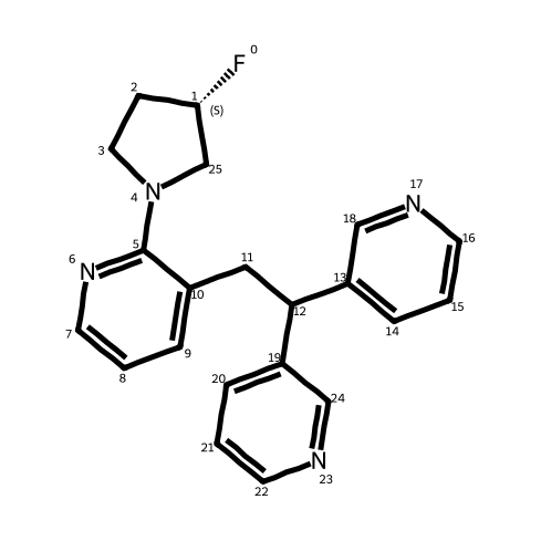 F[C@H]1CCN(c2ncccc2CC(c2cccnc2)c2cccnc2)C1